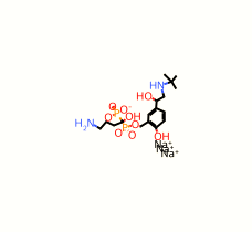 CC(C)(C)NCC(O)c1ccc(O)c(COP(=O)([O-])C(O)(CCCN)P(=O)([O-])[O-])c1.[Na+].[Na+].[Na+]